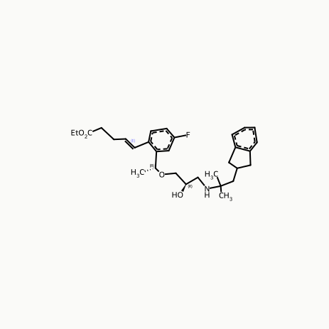 CCOC(=O)CC/C=C/c1ccc(F)cc1[C@@H](C)OC[C@H](O)CNC(C)(C)CC1Cc2ccccc2C1